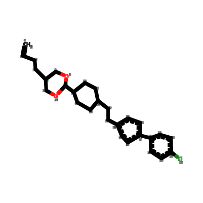 C=CCCC1COC(C2CCC(CCc3ccc(-c4ccc(Cl)cc4)cc3)CC2)OC1